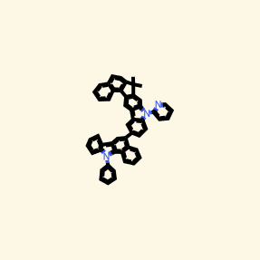 CC1(C)c2cc3c(cc2-c2c1ccc1ccccc21)c1cc(-c2cc4c5ccccc5n(-c5ccccc5)c4c4ccccc24)ccc1n3-c1ccccn1